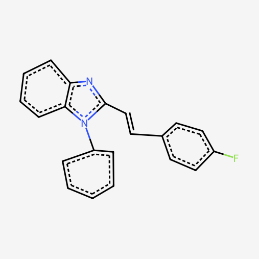 Fc1ccc(/C=C/c2nc3ccccc3n2-c2ccccc2)cc1